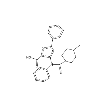 CC1CCC(C(=O)N(c2ccncc2)c2cc(-c3ccccc3)sc2C(=O)O)CC1